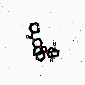 O=C(c1ccccc1)N1CCC(CCN2[C@@H]3CC[C@H]2CC(c2ccccc2)C3)(c2ccccc2)CC1